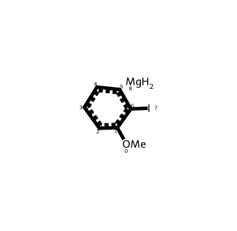 COc1ccccc1I.[MgH2]